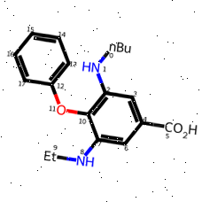 CCCCNc1cc(C(=O)O)cc(NCC)c1Oc1ccccc1